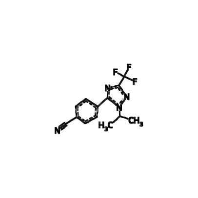 CC(C)n1nc(C(F)(F)F)nc1-c1ccc(C#N)cc1